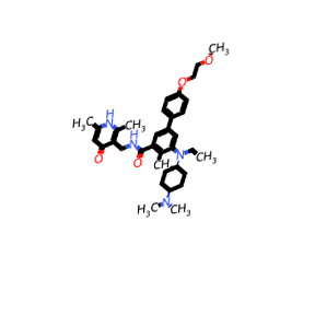 CCN(c1cc(-c2ccc(OCCOC)cc2)cc(C(=O)NCc2c(C)[nH]c(C)cc2=O)c1C)[C@H]1CC[C@H](N(C)C)CC1